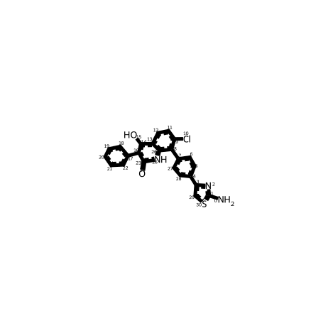 Nc1nc(-c2ccc(-c3c(Cl)ccc4c(O)c(-c5ccccc5)c(=O)[nH]c34)cc2)cs1